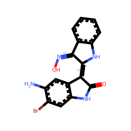 Nc1cc2c(cc1Br)NC(=O)/C2=C1\Nc2ccccc2\C1=N\O